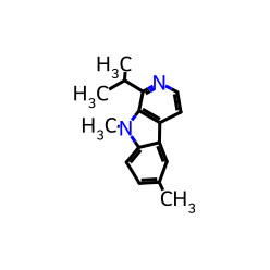 Cc1ccc2c(c1)c1ccnc(C(C)C)c1n2C